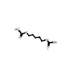 CCCC(=O)OCCCCCOC(=O)CCC